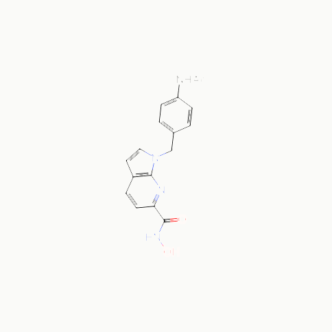 CC(=O)Nc1ccc(Cn2ccc3ccc(C(=O)NO)nc32)cc1